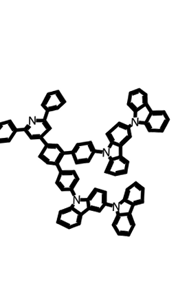 c1ccc(-c2cc(-c3ccc(-c4ccc(-n5c6ccccc6c6cc(-n7c8ccccc8c8ccccc87)ccc65)cc4)c(-c4ccc(-n5c6ccccc6c6cc(-n7c8ccccc8c8ccccc87)ccc65)cc4)c3)cc(-c3ccccc3)n2)cc1